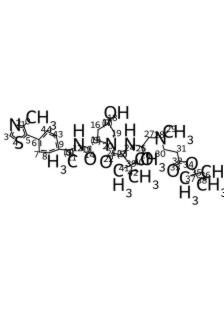 Cc1ncsc1-c1ccc([C@H](C)NC(=O)[C@@H]2C[C@@H](O)CN2C(=O)[C@@H](NC(=O)CN(C)CCC(=O)OC(C)(C)C)C(C)(C)C)cc1